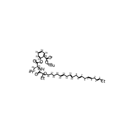 CCC=CCC=CCC=CCC=CCC=CCCCCOC(CC)C(=O)N[C@@H](CC(C)C)C(=O)Oc1ccccc1C(=O)OC(C)(C)C